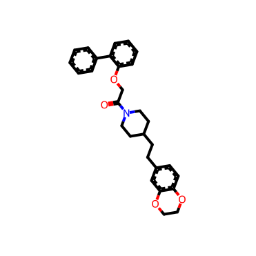 O=C(COc1ccccc1-c1ccccc1)N1CCC(CCc2ccc3c(c2)OCCO3)CC1